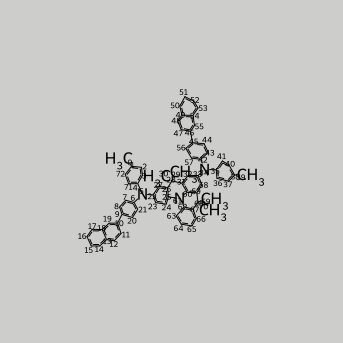 Cc1ccc(N(c2ccc(-c3ccc4ccccc4c3)cc2)c2ccc3c(c2)C(C)(C)c2cc(N(c4ccc(C)cc4)c4ccc(-c5ccc6ccccc6c5)cc4)cc4c2N3c2ccccc2C4(C)C)cc1